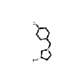 CCN1CCC(CN2CC[C@H](C(C)C)C2)CC1